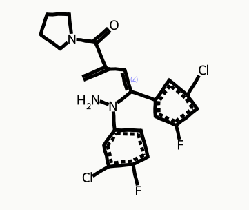 C=C(/C=C(/c1cc(F)cc(Cl)c1)N(N)c1ccc(F)c(Cl)c1)C(=O)N1CCCC1